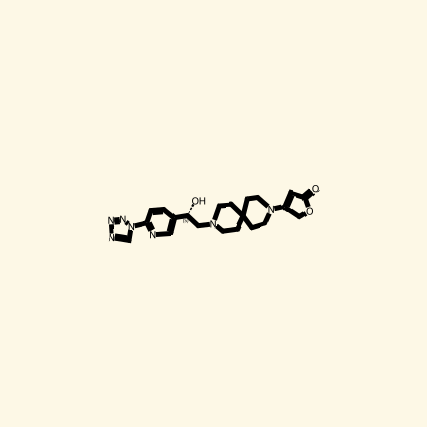 O=C1C=C(N2CCC3(CCN(C[C@@H](O)c4ccc(-n5cnnn5)nc4)CC3)CC2)CO1